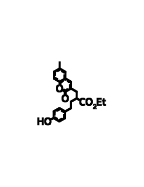 CCOC(=O)C(CCc1ccc(O)cc1)Cc1cc2cc(C)ccc2oc1=O